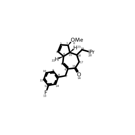 CO[C@@H]1C=C[C@H]2C=C(Cc3cccc(F)c3)C(=O)CC(CC(C)C)[C@H]21